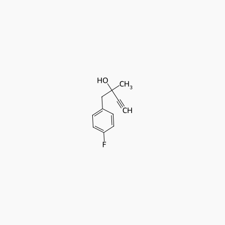 C#CC(C)(O)Cc1ccc(F)cc1